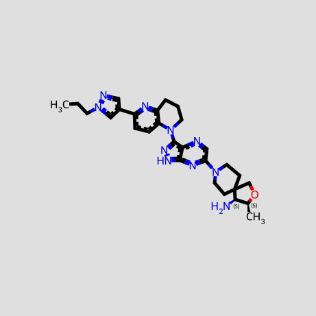 CCCn1cc(-c2ccc3c(n2)CCCN3c2n[nH]c3nc(N4CCC5(CC4)CO[C@@H](C)[C@H]5N)cnc23)cn1